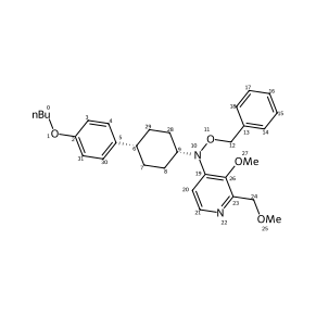 CCCCOc1ccc([C@H]2CC[C@@H](N(OCc3ccccc3)c3ccnc(COC)c3OC)CC2)cc1